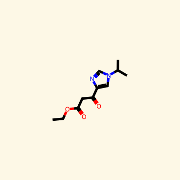 CCOC(=O)CC(=O)c1cn(C(C)C)cn1